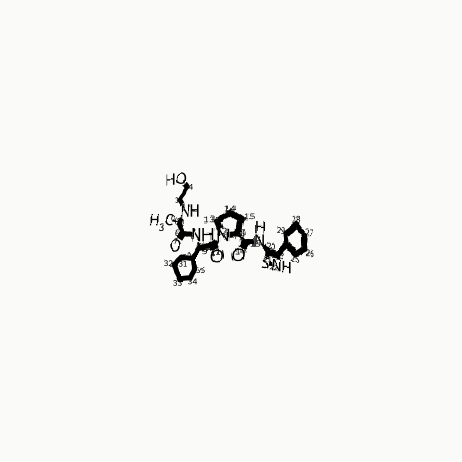 C[C@H](NCCO)C(=O)N[C@H](C(=O)N1CCC[C@H]1C(=O)Nc1s[nH]c1-c1ccccc1)C1CCCCC1